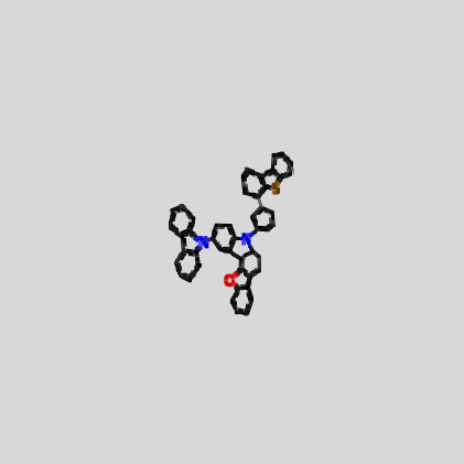 C1=c2c(oc3ccccc23)=C2c3cc(-n4c5ccccc5c5ccccc54)ccc3N(c3cccc(-c4cccc5c4sc4ccccc45)c3)C2C1